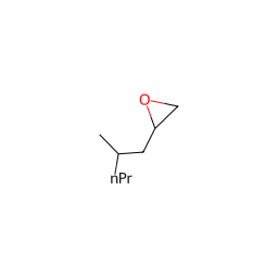 CCCC(C)CC1CO1